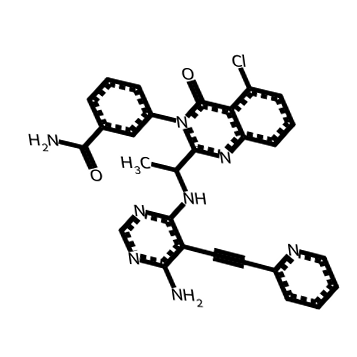 CC(Nc1ncnc(N)c1C#Cc1ccccn1)c1nc2cccc(Cl)c2c(=O)n1-c1cccc(C(N)=O)c1